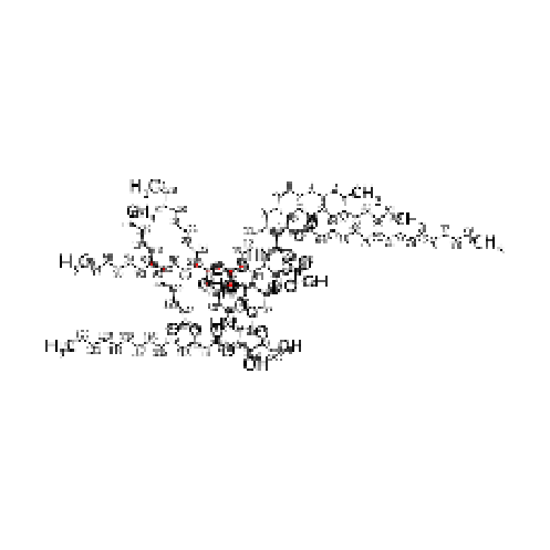 CCCCCC/C=C\CCCCCCCC(=O)OC(CCCCCCCCCCC)CC(=O)NC1[C@H](OCC2OC(OP(=O)(O)O)C(NC(=O)CC(CCCCCCCCCCC)OC(=O)CCCCCCCCCCCCCCC)[C@@H](OC(=O)CC(O)CCCCCCCCCCC)[C@@H]2O)OC(CO)[C@@H](O)[C@@H]1OC(=O)CC(CCCCCCCCCCC)OC(=O)CCCCCCCCCCC